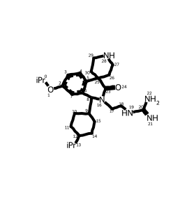 CC(C)Oc1ccc2c(c1)C(C1CCC(C(C)C)CC1)N(CCNC(=N)N)C(=O)C21CCNCC1